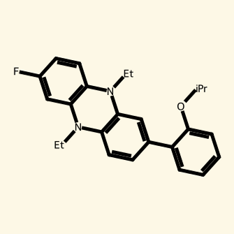 CCN1c2ccc(-c3ccccc3OC(C)C)cc2N(CC)c2ccc(F)cc21